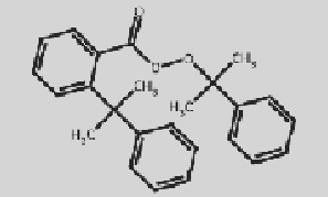 CC(C)(OOC(=O)c1ccccc1C(C)(C)c1ccccc1)c1ccccc1